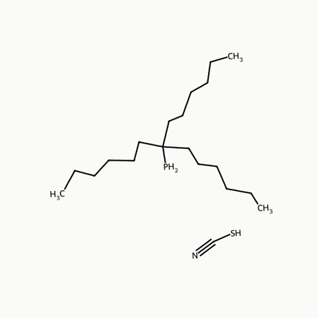 CCCCCCC(P)(CCCCCC)CCCCCC.N#CS